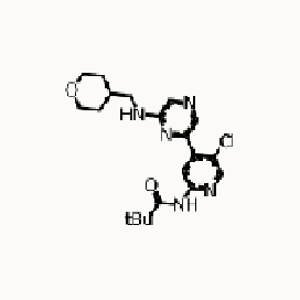 CC(C)(C)C(=O)Nc1cc(-c2cncc(NCC3CCOCC3)n2)c(Cl)cn1